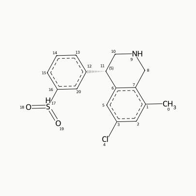 Cc1cc(Cl)cc2c1CNC[C@H]2c1cccc([SH](=O)=O)c1